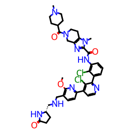 COc1nc(-c2ccnc(-c3cccc(NC(=O)c4nc5c(n4C)CCN(C(=O)C4CCN(C)CC4)C5)c3Cl)c2Cl)ccc1CNC[C@@H]1CCC(=O)N1